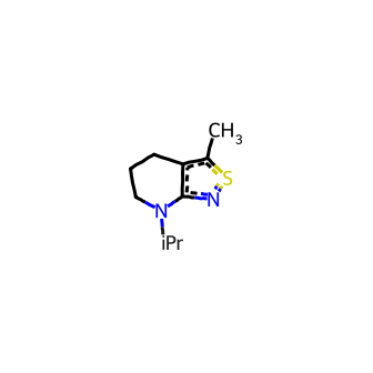 Cc1snc2c1CCCN2C(C)C